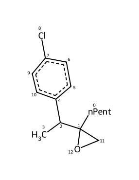 CCCCCC1(C(C)c2ccc(Cl)cc2)CO1